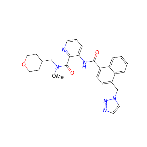 CON(CC1CCOCC1)C(=O)c1ncccc1NC(=O)c1ccc(Cn2ccnn2)c2ccccc12